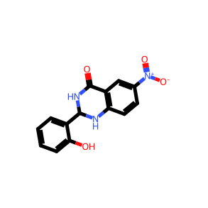 O=C1NC(c2ccccc2O)Nc2ccc([N+](=O)[O-])cc21